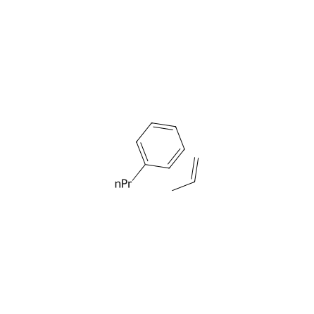 C=CC.CCCc1ccccc1